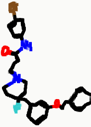 O=C(CCN1CCC(F)(c2cccc(OCc3ccccc3)c2)CC1)Nc1ccc(Br)cc1